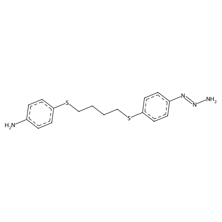 NN=Nc1ccc(SCCCCSc2ccc(N)cc2)cc1